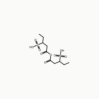 CCC(CC(=O)OC(=O)CC(CC)S(=O)(=O)O)S(=O)(=O)O